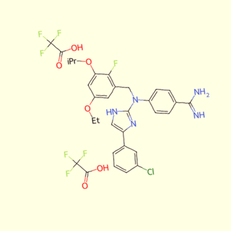 CCOc1cc(CN(c2ccc(C(=N)N)cc2)c2nc(-c3cccc(Cl)c3)c[nH]2)c(F)c(OC(C)C)c1.O=C(O)C(F)(F)F.O=C(O)C(F)(F)F